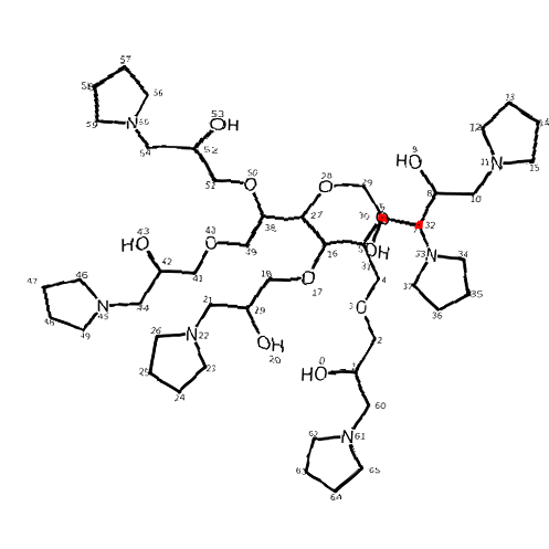 OC(COCC(OCC(O)CN1CCCC1)C(OCC(O)CN1CCCC1)C(OCC(O)CN1CCCC1)C(COCC(O)CN1CCCC1)OCC(O)CN1CCCC1)CN1CCCC1